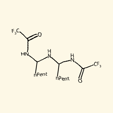 CCCCCC(NC(=O)C(F)(F)F)NC(CCCCC)NC(=O)C(F)(F)F